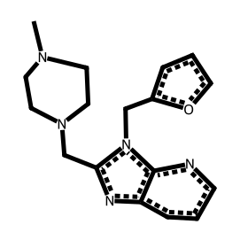 CN1CCN(Cc2nc3cccnc3n2Cc2ccco2)CC1